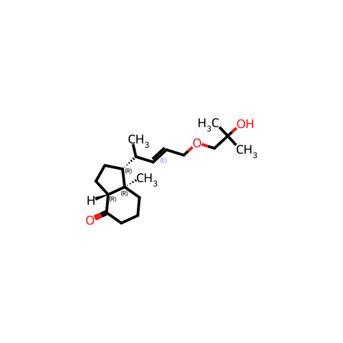 CC(/C=C/COCC(C)(C)O)[C@H]1CC[C@H]2C(=O)CCC[C@]12C